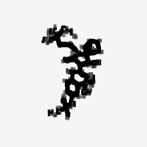 CC(C)(C)CCN1C(=O)C(C2=N[PH](O)(O)c3cc(NS(C)(=O)=O)ccc3N2)=C(O)C12CC1CCC2C1